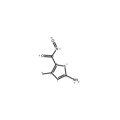 Cc1cc(N)sc1C(=O)N=O